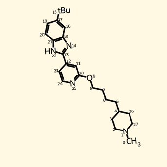 CN1CCC(CCCCOc2cc(-c3nc4cc(C(C)(C)C)ccc4[nH]3)ccn2)CC1